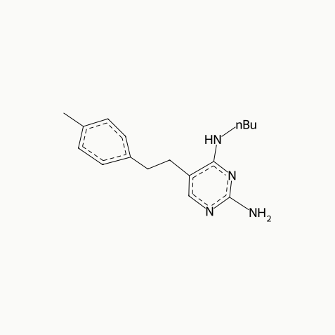 CCCCNc1nc(N)ncc1CCc1ccc(C)cc1